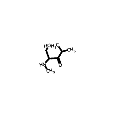 CNC(CO)C(=O)C(C)C